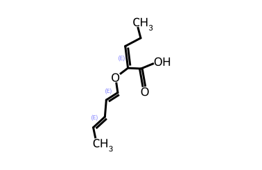 C/C=C/C=C/O/C(=C/CC)C(=O)O